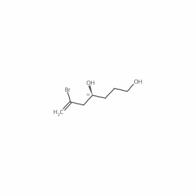 C=C(Br)C[C@@H](O)CCCO